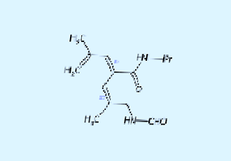 C=C(C)/C=C(\C=C(\C)CNC=O)C(=O)NC(C)C